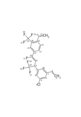 C=Cc1cc(Cl)cc(C(/C=C(\F)c2ccc(C=C)c(C(F)(F)F)c2)C(F)(F)F)c1